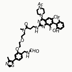 CC(=O)N1CCN(c2nc(NCCC(=O)N(C)CCOCCOc3cc(-c4scnc4C)ccc3CNC=O)nc3c(F)c(-c4c(O)cccc4F)c(Cl)cc23)CC1